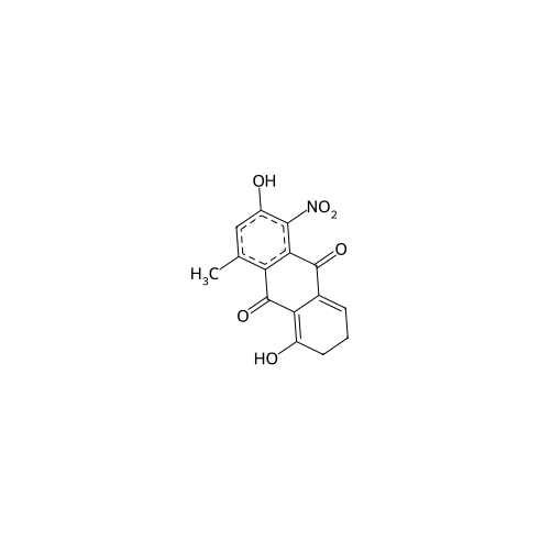 Cc1cc(O)c([N+](=O)[O-])c2c1C(=O)C1=C(O)CCC=C1C2=O